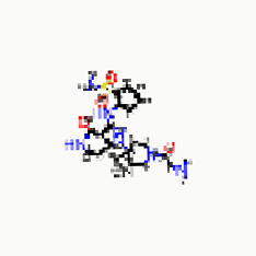 CN(C)CC(=O)N1CCC(CC#N)(n2nc(Nc3ccccc3S(=O)(=O)N(C)C)c3c(=O)[nH]ccc32)CC1